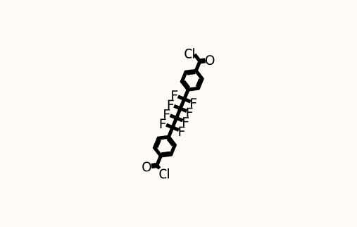 O=C(Cl)c1ccc(C(F)(F)C(F)(F)C(F)(F)C(F)(F)c2ccc(C(=O)Cl)cc2)cc1